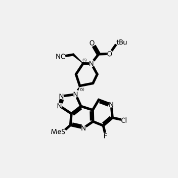 CSc1nc2c(F)c(Cl)ncc2c2c1nnn2[C@H]1CCN(C(=O)OC(C)(C)C)[C@H](CC#N)C1